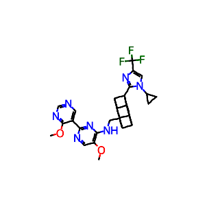 COc1cnc(-c2cncnc2OC)nc1NCC12C3C4C1C1C2C3C41c1nc(C(F)(F)F)cn1C1CC1